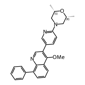 COc1c(-c2ccc(N3C[C@@H](C)O[C@@H](C)C3)nc2)cnc2c(-c3ccccc3)cccc12